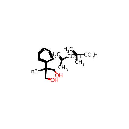 C=C(C)C(=O)O.C=C(C)C(=O)O.CCCC(CO)(CO)c1ccccc1